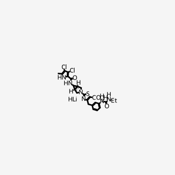 CCNC(=O)Nc1cccc(Cc2nc(N3C[C@@H]4C(NC(=O)c5[nH]c(C)c(Cl)c5Cl)[C@@H]4C3)sc2C(=O)O)c1.[LiH]